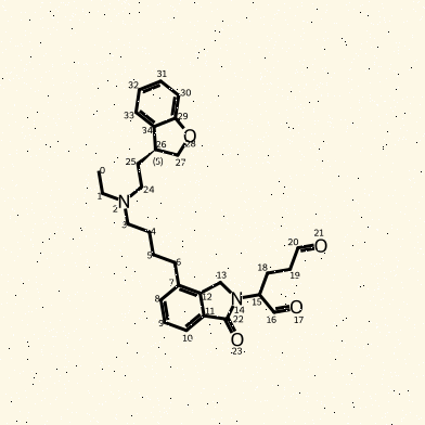 CCN(CCCCc1cccc2c1CN(C(C=O)CCC=O)C2=O)CC[C@@H]1COc2ccccc21